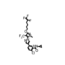 Cn1nc(OCCCCC(F)=C(F)F)c(C(F)(F)F)c1-n1cc(-c2ccc(Cl)c(C(=O)NC3CC3)c2)cn1